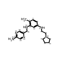 Cc1ccc(NCCN2CCCC2)cc1NCc1cnc(N)cn1